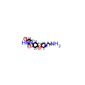 NCCN1CCC(Oc2ccc(-n3ccc(=O)[nH]c3=O)cc2)CC1